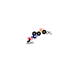 CCCCCCCCCCCCC(=O)O/N=C1\CCn2c3ccc([S+]([O-])c4ccc(C)cc4)cc3c3cccc1c32